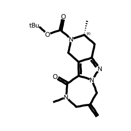 C=C1CN(C)C(=O)c2c3c(nn2C1)C[C@@H](C)N(C(=O)OC(C)(C)C)C3